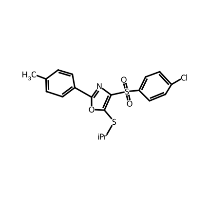 Cc1ccc(-c2nc(S(=O)(=O)c3ccc(Cl)cc3)c(SC(C)C)o2)cc1